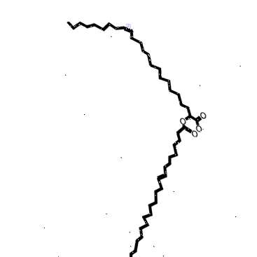 CCCCCCCC/C=C\CCCCCCCCCCCCC(OC(=O)CCCCCCCC=CCCCCCCCCCCCCCC)C([O])=O